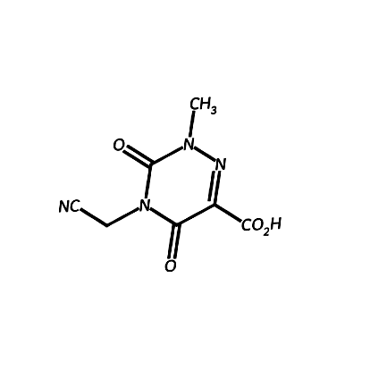 Cn1nc(C(=O)O)c(=O)n(CC#N)c1=O